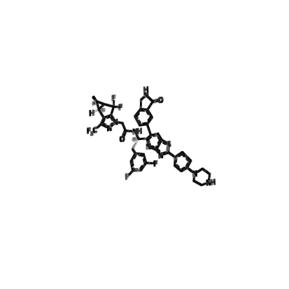 C[C@H]1C2[C@H]1c1c(C(F)(F)F)nn(CC(=O)N[C@@H](Cc3cc(F)cc(F)c3)c3nc4nc(-c5ccc(N6CCNCC6)cc5)sc4cc3-c3ccc4c(c3)C(=O)NC4)c1C2(F)F